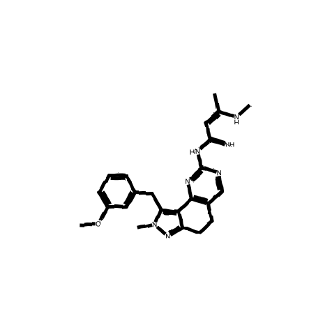 CN/C(C)=C\C(=N)Nc1ncc2c(n1)-c1c(nn(C)c1Cc1cccc(OC)c1)CC2